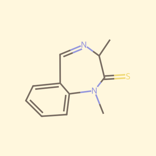 CC1N=Cc2ccccc2N(C)C1=S